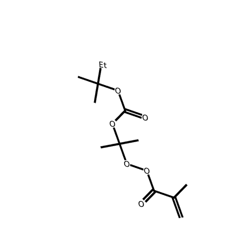 C=C(C)C(=O)OOC(C)(C)OC(=O)OC(C)(C)CC